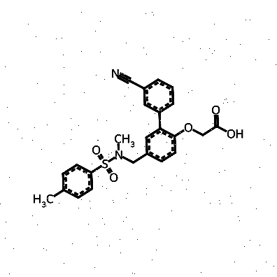 Cc1ccc(S(=O)(=O)N(C)Cc2ccc(OCC(=O)O)c(-c3cccc(C#N)c3)c2)cc1